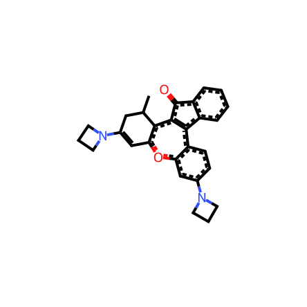 CC1CC(N2CCC2)=Cc2oc3cc(N4CCC4)ccc3c3c4ccccc4c(=O)c=3c21